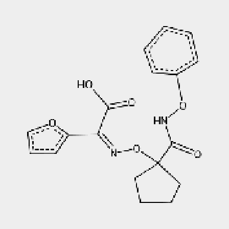 O=C(O)/C(=N\OC1(C(=O)NOc2ccccc2)CCCC1)c1ccco1